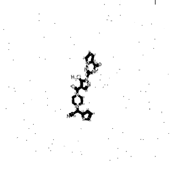 Cc1c(C(=O)N2CCN(C(C#N)c3cccs3)CC2)cnn1-c1nn2cccc2c(=O)[nH]1